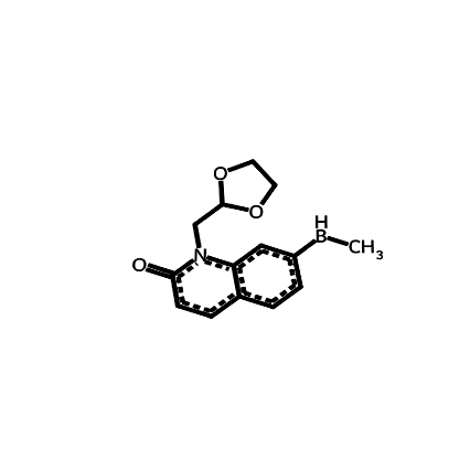 CBc1ccc2ccc(=O)n(CC3OCCO3)c2c1